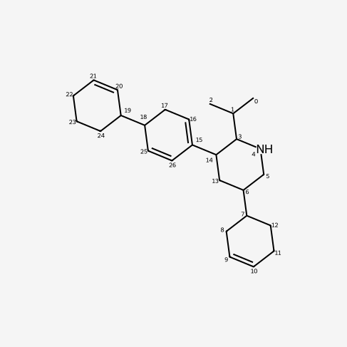 CC(C)C1NCC(C2CC=CCC2)CC1C1=CCC(C2C=CCCC2)C=C1